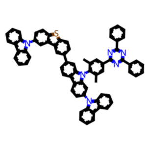 Cc1cc(-c2nc(-c3ccccc3)nc(-c3ccccc3)n2)cc(C)c1-n1c2cc(-c3ccc4sc5ccc(-n6c7ccccc7c7ccccc76)cc5c4c3)ccc2c2ccc(-n3c4ccccc4c4ccccc43)cc21